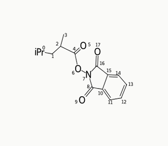 CC(C)CC(C)C(=O)ON1C(=O)c2ccccc2C1=O